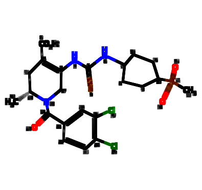 CCOC(=O)C1=C(NC(=S)NC2CCC(S(C)(=O)=O)CC2)CN(C(=O)c2ccc(Cl)c(Cl)c2)[C@H](C)C1